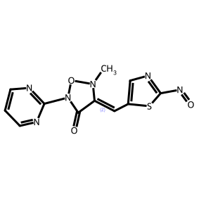 CN1ON(c2ncccn2)C(=O)/C1=C/c1cnc(N=O)s1